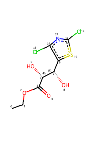 CCOC(=O)[C@H](O)[C@@H](O)c1sc(Cl)nc1Cl